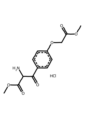 COC(=O)COc1ccc(C(=O)C(N)C(=O)OC)cc1.Cl